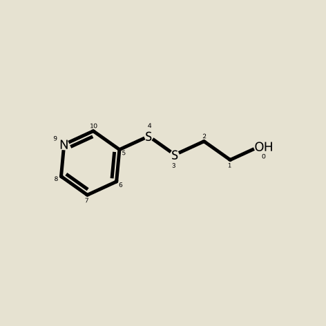 OCCSSc1cccnc1